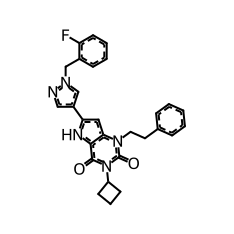 O=c1c2[nH]c(-c3cnn(Cc4ccccc4F)c3)cc2n(CCc2ccccc2)c(=O)n1C1CCC1